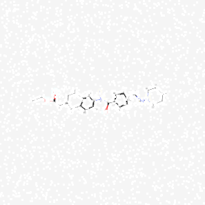 CCOC(=O)CC1CCc2cc(NC(=O)c3ccc(C=NN4CCCCC4)cc3)ccc2C1